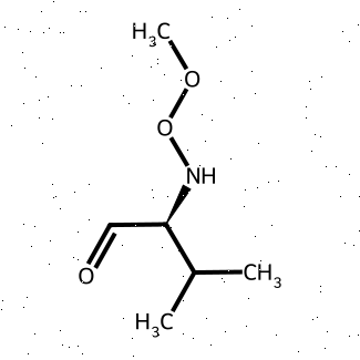 COON[C@H](C=O)C(C)C